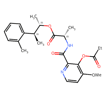 CCC(=O)Oc1c(OC)ccnc1C(=O)N[C@@H](C)C(=O)O[C@@H](C)[C@@H](C)c1ccccc1C